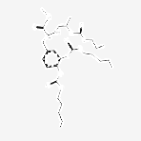 CCCCCOC(=O)Oc1ccc(C[C@H](NCC(C)OC(=O)OCCC)C(=O)OC)cc1OC(=O)OCCCCC